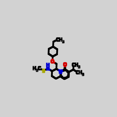 CCC1CCC(OCC2C(NSC)CCc3ccc(C(C)C)c(=O)n32)CC1